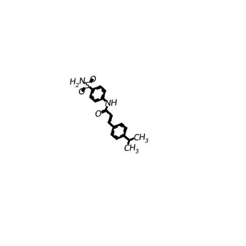 CC(C)c1ccc(/C=C/C(=O)Nc2ccc(S(N)(=O)=O)cc2)cc1